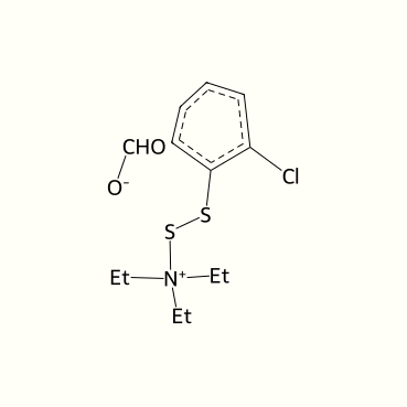 CC[N+](CC)(CC)SSc1ccccc1Cl.O=C[O-]